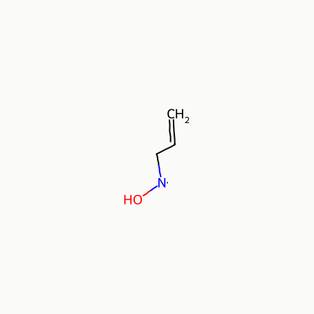 C=CC[N]O